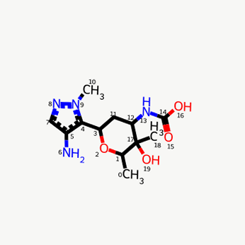 CC1OC(c2c(N)cnn2C)CC(NC(=O)O)C1(C)O